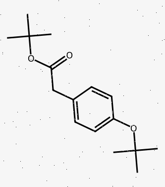 CC(C)(C)OC(=O)Cc1ccc(OC(C)(C)C)cc1